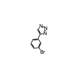 Brc1cccc(C2=C[N]N=N2)c1